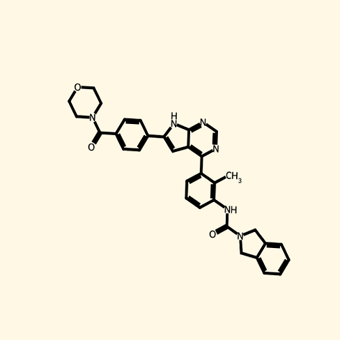 Cc1c(NC(=O)N2Cc3ccccc3C2)cccc1-c1ncnc2[nH]c(-c3ccc(C(=O)N4CCOCC4)cc3)cc12